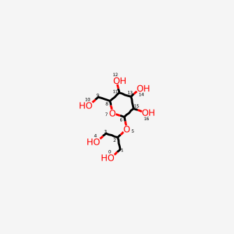 OCC(CO)OC1OC(CO)C(O)C(O)C1O